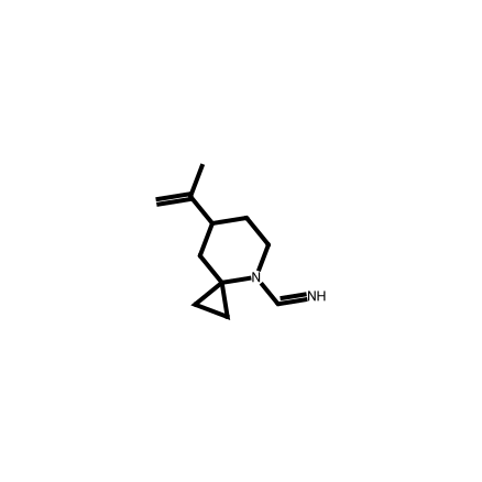 C=C(C)C1CCN(C=N)C2(CC2)C1